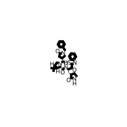 CC1(C)[C@@H]2[C@@H](C(=O)N[C@@H](C[C@@H]3CCNC3=O)C(=O)c3nc4ccccc4s3)N(C(=O)[C@@H]3CC(=O)N(Cc4ccccc4)C3)C[C@@H]21